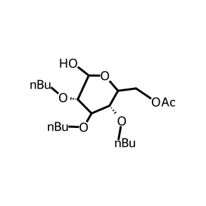 CCCCOC1[C@H](OCCCC)C(O)OC(COC(C)=O)[C@@H]1OCCCC